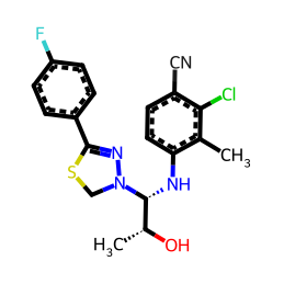 Cc1c(N[C@H]([C@@H](C)O)N2CSC(c3ccc(F)cc3)=N2)ccc(C#N)c1Cl